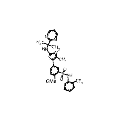 COc1ccc(-c2sc(NC(C)(C)c3ncccn3)nc2C)cc1S(=O)(=O)Nc1ccccc1C(F)(F)F